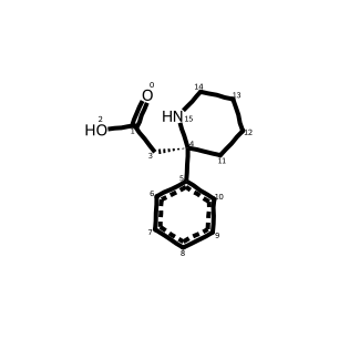 O=C(O)C[C@@]1(c2ccccc2)CCCCN1